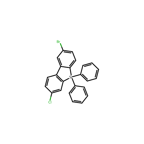 Clc1ccc2c(c1)[Si](c1ccccc1)(c1ccccc1)c1ccc(Br)cc1-2